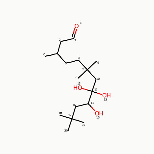 CC(CC=O)CCC(C)(C)CC(O)(O)C(O)CC(C)(C)C